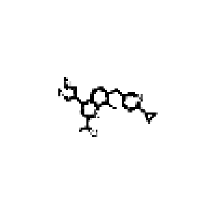 CC(=O)c1cc(-c2cnn(C)c2)c2ccc(Cc3ccc(C4CC4)nc3)c(F)c2n1